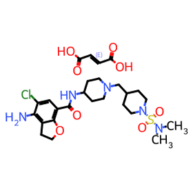 CN(C)S(=O)(=O)N1CCC(CN2CCC(NC(=O)c3cc(Cl)c(N)c4c3OCC4)CC2)CC1.O=C(O)/C=C/C(=O)O